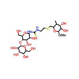 CO[C@H]1OC(CSCCNC(=S)N[C@@H]2OC(CO)[C@@H](O[C@@H]3OC(CO)[C@H](O)[C@H](O)C3O)[C@H](O)C2O)C(C)[C@H](O)C1O